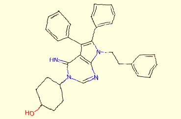 N=c1c2c(-c3ccccc3)c(-c3ccccc3)n(CCc3ccccc3)c2ncn1C1CCC(O)CC1